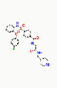 O=C(CNC(=O)c1ccc(S(=O)(=O)Nc2ccccc2Oc2ccc(F)cc2)cc1)NCC1CCNCC1